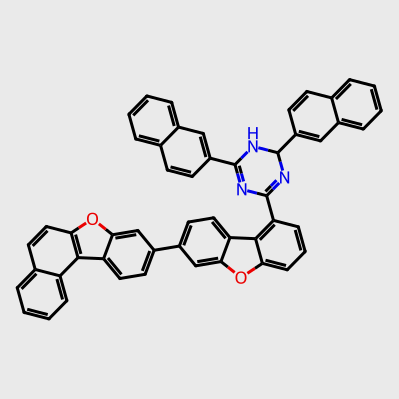 c1ccc2cc(C3=NC(c4cccc5oc6cc(-c7ccc8c(c7)oc7ccc9ccccc9c78)ccc6c45)=NC(c4ccc5ccccc5c4)N3)ccc2c1